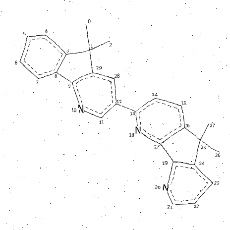 CC1(C)c2ccccc2-c2ncc(-c3ccc4c(n3)-c3ncccc3C4(C)C)cc21